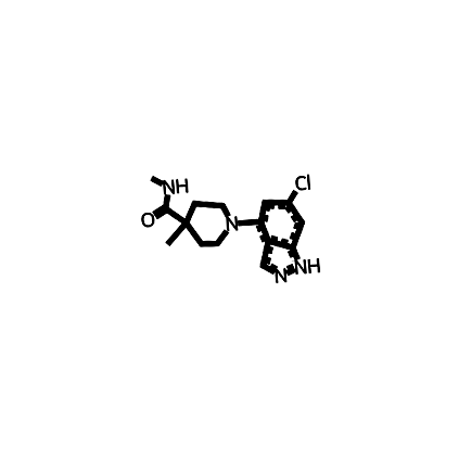 CNC(=O)C1(C)CCN(c2cc(Cl)cc3[nH]ncc23)CC1